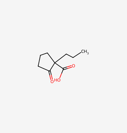 CCCC1(C(=O)O)CCCC1=O